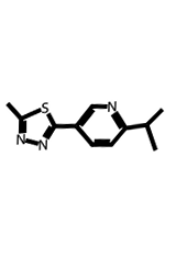 Cc1nnc(-c2ccc(C(C)C)nc2)s1